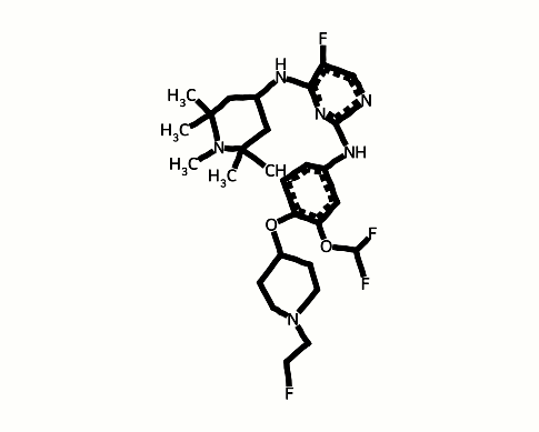 CN1C(C)(C)CC(Nc2nc(Nc3ccc(OC4CCN(CCF)CC4)c(OC(F)F)c3)ncc2F)CC1(C)C